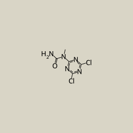 CN(C(N)=O)c1nc(Cl)nc(Cl)n1